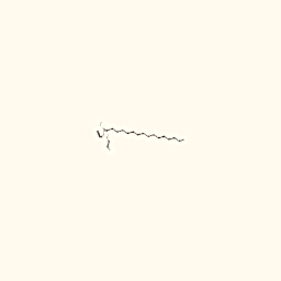 CCCCCCCCCCCCCCCC1N(C)C=CN1CCC